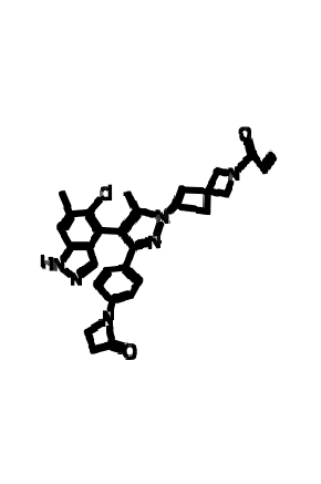 C=CC(=O)N1CC2(CC(n3nc(-c4ccc(N5CCC5=O)cc4)c(-c4c(Cl)c(C)cc5[nH]ncc45)c3C)C2)C1